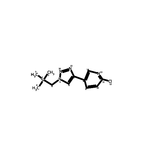 C[Si](C)(C)Cn1cc(-c2ccc(Cl)nc2)nn1